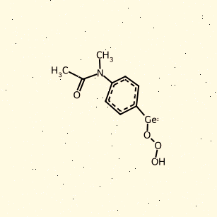 CC(=O)N(C)c1cc[c]([Ge][O]OO)cc1